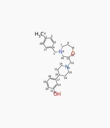 Cc1ccc(CN2CCCOC(CN3CCC(c4cccc(O)c4)CC3)C2)cc1